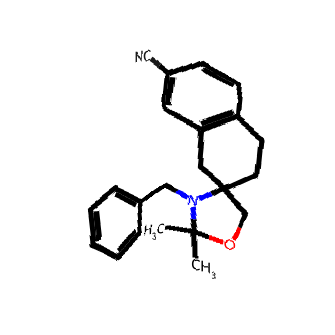 CC1(C)OCC2(CCc3ccc(C#N)cc3C2)N1Cc1ccccc1